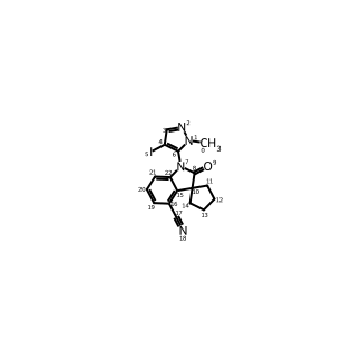 Cn1ncc(I)c1N1C(=O)C2(CCCC2)c2c(C#N)cccc21